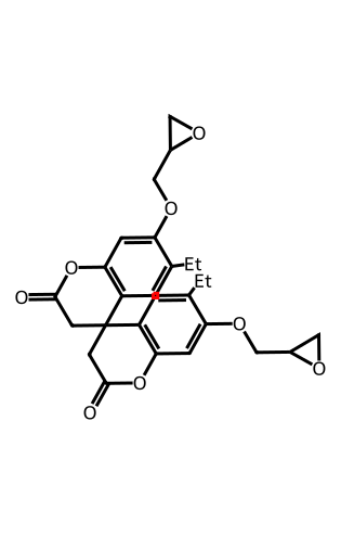 CCc1cc2c(cc1OCC1CO1)OC(=O)CC21CC(=O)Oc2cc(OCC3CO3)c(CC)cc21